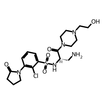 NC[C@H](NS(=O)(=O)c1cccc(N2CCCC2=O)c1Cl)C(=O)N1CCN(CCO)CC1